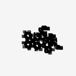 CCC(C)CCN[C@](NC[C@@H](CSC(c1ccccc1)(c1ccccc1)c1ccccc1)NC(=O)OC(C)(C)C)(C(=O)N[C@H]1CCOC1=O)[C@@H](C)CC